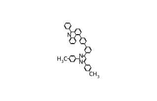 Cc1ccc(-c2cc(-c3cccc(-c4ccc(-c5cccc6c(-c7ccccc7)nc7ccccc7c56)cc4)c3)nc(-c3ccc(C)cc3)n2)cc1